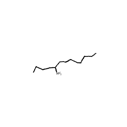 CCCCCCCC(N)CCCC